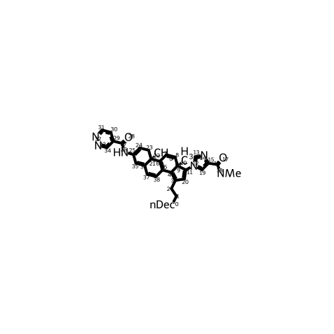 CCCCCCCCCCCCC1=C2C3=C(C=C[C@]2(C)C(n2cnc(C(=O)NC)c2)=C1)[C@]1(C)CC=C(NC(=O)c2ccnnc2)C=C1C=C3